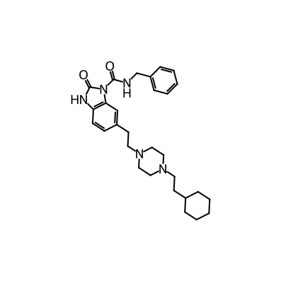 O=C(NCc1ccccc1)n1c(=O)[nH]c2ccc(CCN3CCN(CCC4CCCCC4)CC3)cc21